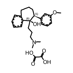 COc1cccc([C@@H]2CCCc3ccccc3[C@@]2(O)CCCN(C)C)c1.O=C(O)C(=O)O